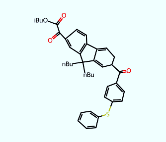 CCCCC1(CCCC)C2=CC(C(=O)c3ccc(Sc4ccccc4)cc3)CC=C2c2ccc(C(=O)C(=O)OCC(C)C)cc21